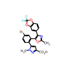 Cc1nc(-c2ccc3c(c2)OC(F)(F)O3)c(-c2cc(Br)ccc2-c2cc(C(=O)O)nn2C)o1